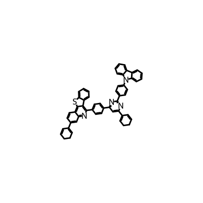 C1=CC(c2ccc3c(c2)nc(-c2ccc(-c4cc(C5=CCCC=C5)nc(-c5ccc(-n6c7ccccc7c7ccccc76)cc5)n4)cc2)c2c4ccccc4sc32)=CCC1